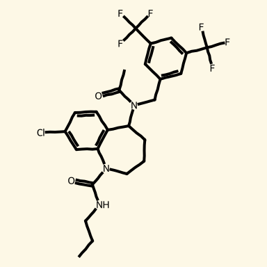 CCCNC(=O)N1CCCC(N(Cc2cc(C(F)(F)F)cc(C(F)(F)F)c2)C(C)=O)c2ccc(Cl)cc21